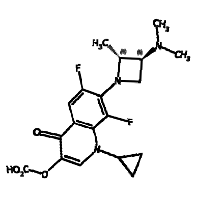 C[C@@H]1[C@@H](N(C)C)CN1c1c(F)cc2c(=O)c(OC(=O)O)cn(C3CC3)c2c1F